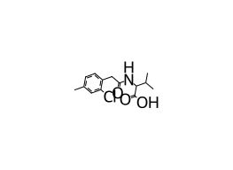 Cc1ccc(CC(=O)NC(C(=O)O)C(C)C)c(Cl)c1